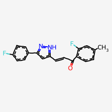 Cc1ccc(C(=O)/C=C/c2cc(-c3ccc(F)cc3)n[nH]2)c(F)c1